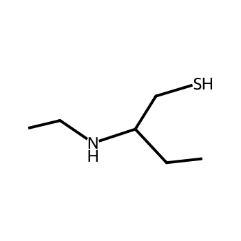 CCNC(CC)CS